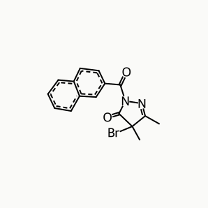 CC1=NN(C(=O)c2ccc3ccccc3c2)C(=O)C1(C)Br